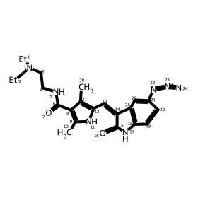 CCN(CC)CCNC(=O)c1c(C)[nH]c(/C=C2\C(=O)Nc3ccc(N=[N+]=[N-])cc32)c1C